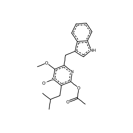 COc1c(Cc2c[nH]c3ccccc23)nc(OC(C)=O)c(CC(C)C)[n+]1[O-]